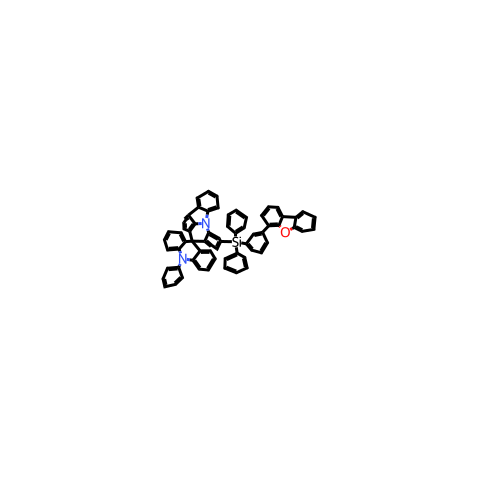 c1ccc(N2c3ccccc3C3(c4ccccc42)c2ccc([Si](c4ccccc4)(c4ccccc4)c4cccc(-c5cccc6c5oc5ccccc56)c4)cc2-n2c4ccccc4c4cccc3c42)cc1